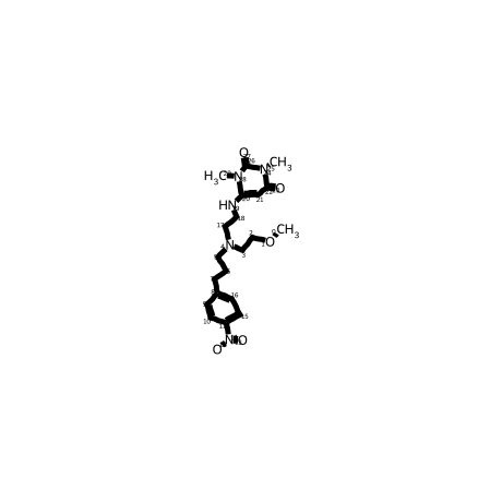 COCCN(CCCc1ccc([N+](=O)[O-])cc1)CCNc1cc(=O)n(C)c(=O)n1C